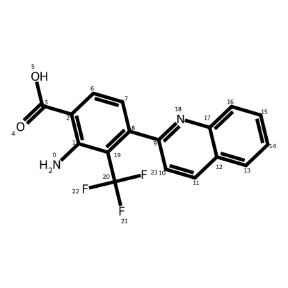 Nc1c(C(=O)O)ccc(-c2ccc3ccccc3n2)c1C(F)(F)F